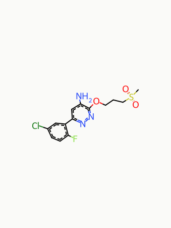 CS(=O)(=O)CCCOc1nnc(-c2cc(Cl)ccc2F)cc1N